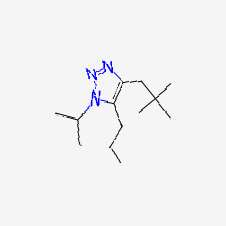 CCCc1c(CC(C)(C)C)nnn1C(C)C